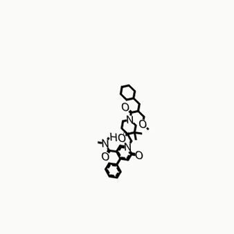 COCC(CC1CCCCC1)C(=O)N1CC[C@@](O)(Cn2cc(C(=O)N(C)C)c(-c3ccccc3)cc2=O)C(C)(C)C1